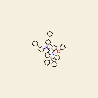 c1ccc(-c2cccc(N3B4c5cccc6c5N(c5ccccc5C6(c5ccccc5)c5ccccc5)c5c4c(cc4c5oc5ccccc54)-c4cc(-c5ccccc5)ccc43)c2)cc1